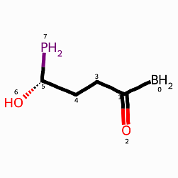 BC(=O)CC[C@H](O)P